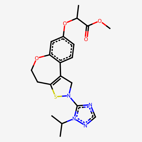 COC(=O)C(C)Oc1ccc2c(c1)OCCC1=C2CN(c2ncnn2C(C)C)S1